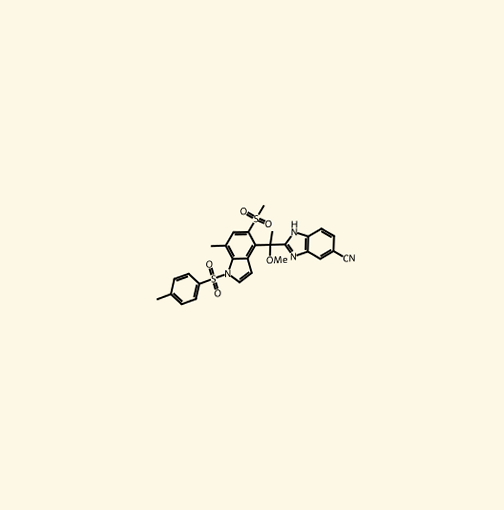 COC(C)(c1nc2cc(C#N)ccc2[nH]1)c1c(S(C)(=O)=O)cc(C)c2c1ccn2S(=O)(=O)c1ccc(C)cc1